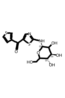 O=C(c1ccsc1)c1cnc(N[C@H]2OC(CO)[C@@H](O)[C@H](O)C2O)s1